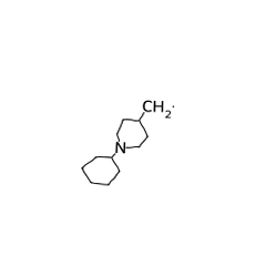 [CH2]C1CCN(C2CCCCC2)CC1